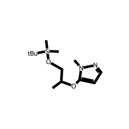 CC(CO[Si](C)(C)C(C)(C)C)Oc1ccnn1C